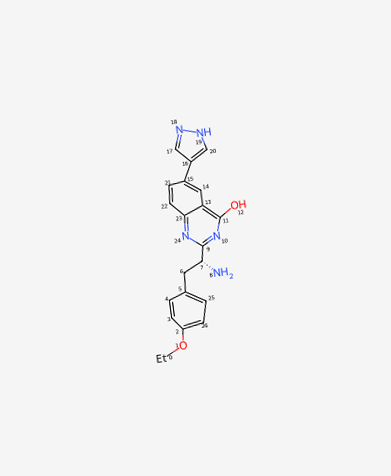 CCOc1ccc(C[C@@H](N)c2nc(O)c3cc(-c4cn[nH]c4)ccc3n2)cc1